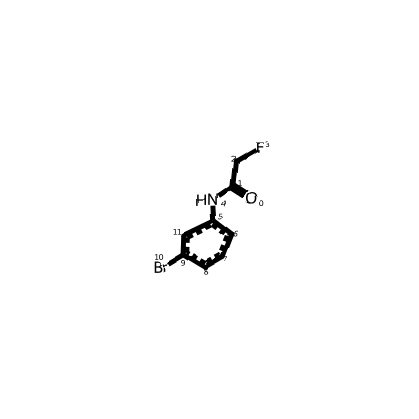 O=C(CF)Nc1cccc(Br)c1